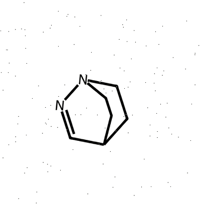 C1=NN2CCC1CC2